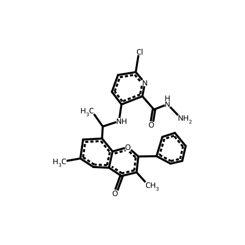 Cc1cc(C(C)Nc2ccc(Cl)nc2C(=O)NN)c2oc(-c3ccccc3)c(C)c(=O)c2c1